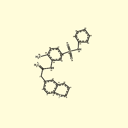 C=C(Cc1ccc2ccccc2c1)Nc1cc(S(=O)(=O)Nc2ccccc2)ccc1C